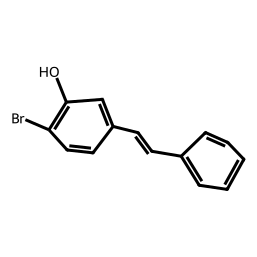 Oc1cc(C=Cc2ccccc2)ccc1Br